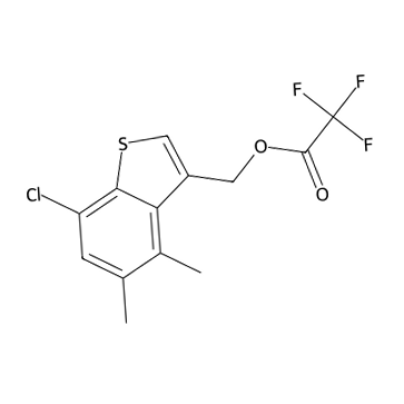 Cc1cc(Cl)c2scc(COC(=O)C(F)(F)F)c2c1C